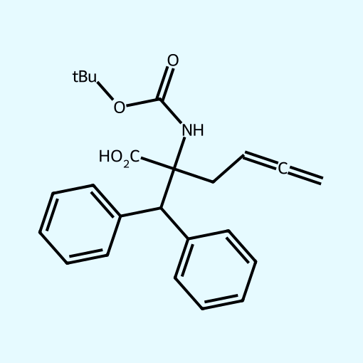 C=C=CCC(NC(=O)OC(C)(C)C)(C(=O)O)C(c1ccccc1)c1ccccc1